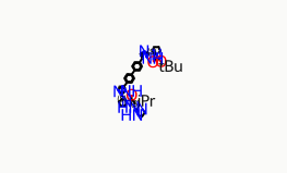 CC(C)[C@H](NC1=NCCN1)C(=O)N1CCC[C@H]1c1ncc(-c2ccc(-c3ccc(-c4cnc([C@@H]5CCCN5C(=O)OC(C)(C)C)[nH]4)cc3)cc2)[nH]1